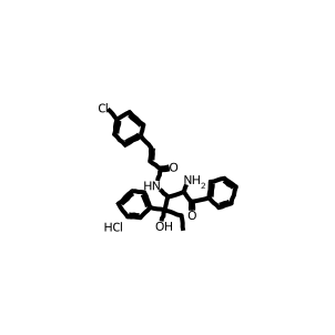 CCC(O)(c1ccccc1)C(NC(=O)C=Cc1ccc(Cl)cc1)C(N)C(=O)c1ccccc1.Cl